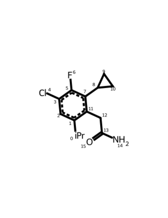 CC(C)c1cc(Cl)c(F)c(C2CC2)c1CC(N)=O